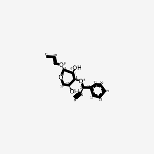 C#C[C@@H](O[C@@H]1[C@H](O)[C@@H](O/C=C/C)OC[C@H]1O)c1ccccc1